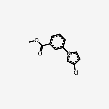 COC(=O)c1cccc(-n2ccc(Cl)c2)c1